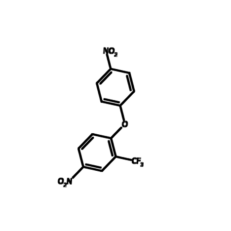 O=[N+]([O-])c1ccc(Oc2ccc([N+](=O)[O-])cc2C(F)(F)F)cc1